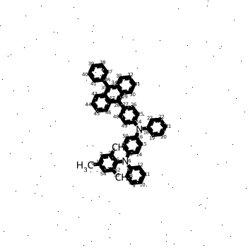 Cc1cc(C)c(N(c2ccccc2)c2ccc(N(c3ccccc3)c3ccc(-c4c5ccccc5c(-c5ccccc5)c5ccccc45)cc3)cc2)c(C)c1